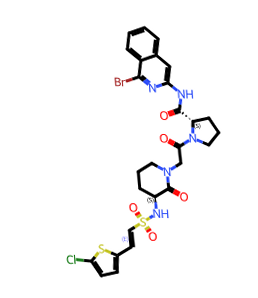 O=C(Nc1cc2ccccc2c(Br)n1)[C@@H]1CCCN1C(=O)CN1CCC[C@H](NS(=O)(=O)/C=C/c2ccc(Cl)s2)C1=O